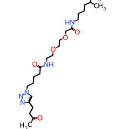 CC(=O)CCc1cn(CCCCC(=O)NCCOCCOCC(=O)NCCCCC(C)C)nn1